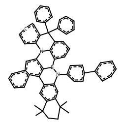 CC1(C)CCC(C)(C)c2cc3c(cc21)-c1c2c(cc4ccccc14)N1c4ccccc4C(c4ccccc4)(c4ccccc4)c4cccc(c41)B2N3c1ccc(-c2ccccc2)cc1